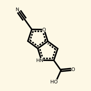 N#Cc1cc2[nH]c(C(=O)O)cc2o1